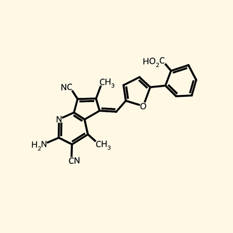 CC1=C(C#N)c2nc(N)c(C#N)c(C)c2/C1=C/c1ccc(-c2ccccc2C(=O)O)o1